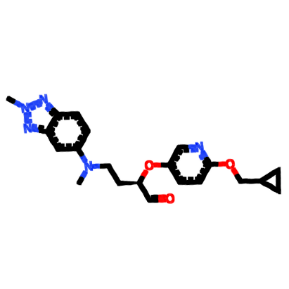 CN(CC[C@H](C=O)Oc1ccc(OCC2CC2)nc1)c1ccc2nn(C)nc2c1